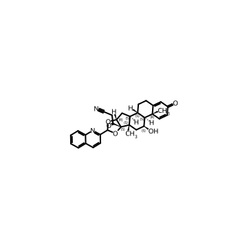 C[C@]12C=CC(=O)C=C1CC[C@@H]1[C@@H]2[C@@H](O)C[C@@]2(C)[C@H]1C[C@H]1OC(c3ccc4ccccc4n3)O[C@]12C(=O)CC#N